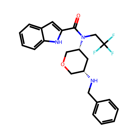 O=C(c1cc2ccccc2[nH]1)N(CC(F)(F)F)[C@H]1COC[C@@H](NCc2ccccc2)C1